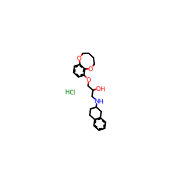 Cl.OC(CNC1CCc2ccccc2C1)COc1cccc2c1OCCCCO2